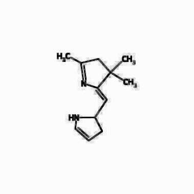 CC1=N/C(=C\C2CC=CN2)C(C)(C)C1